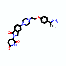 CC(N)c1ccc(OCCN2CCN(c3ccc4c(c3)CN(C3CCC(=O)NC3=O)C4=O)CC2)cc1